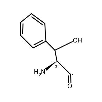 N[C@H]([C]=O)C(O)c1ccccc1